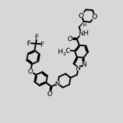 Cc1c(C(=O)NC[C@@H]2COCCO2)ccc2nn(CC3CCN(C(=O)c4ccc(Oc5ccc(C(F)(F)F)cc5)cc4)CC3)cc12